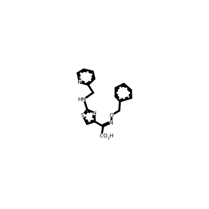 O=C(O)C(=NOCc1ccccc1)c1csc(NCc2ccccn2)n1